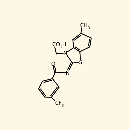 Cc1ccc2sc(=NC(=O)c3cccc(C(F)(F)F)c3)n(CC(=O)O)c2c1